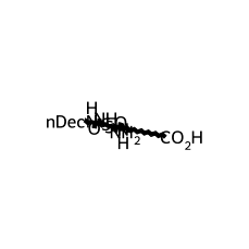 CCCCCCCCCCCCNC(=O)C(N)CSSCC(N)C(=O)NCCCCCCCCCCCC(=O)O